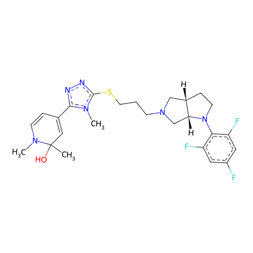 CN1C=CC(c2nnc(SCCCN3C[C@@H]4CCN(c5c(F)cc(F)cc5F)[C@@H]4C3)n2C)=CC1(C)O